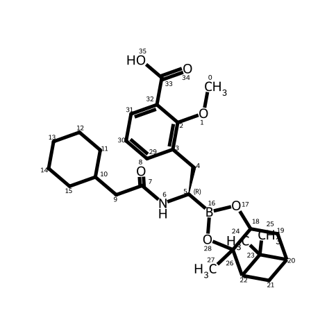 COc1c(C[C@H](NC(=O)CC2CCCCC2)B2OC3CC4CC(C4(C)C)C3(C)O2)cccc1C(=O)O